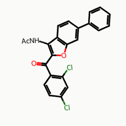 CC(=O)Nc1c(C(=O)c2ccc(Cl)cc2Cl)oc2cc(-c3ccccc3)ccc12